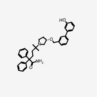 CC(C)(CCC(C(N)=O)(c1ccccc1)c1ccccc1)N1CC[C@H](OCc2cccc(-c3cccc(O)c3)c2)C1